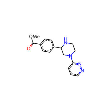 COC(=O)c1ccc(C2CN(c3cccnn3)CCN2)cc1